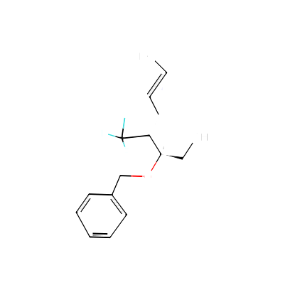 C/C=C/C[C@H]([C@@H](CC)OCc1ccccc1)C(F)(F)F